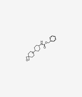 O=C(NC1CCC(N2CCC3(CC2)COC3)CC1)OCc1ccccc1